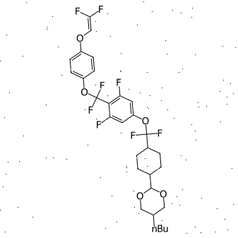 CCCCC1COC(C2CCC(C(F)(F)Oc3cc(F)c(C(F)(F)Oc4ccc(OC=C(F)F)cc4)c(F)c3)CC2)OC1